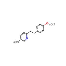 CCCCCCCCCCc1ccc(CCc2ccc(OCCCCCCCC)cc2)nc1